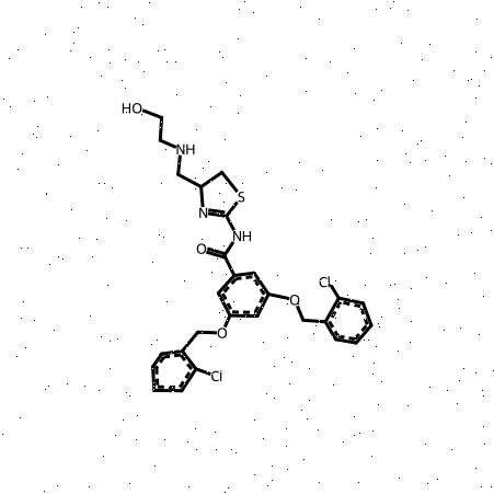 O=C(NC1=NC(CNCCO)CS1)c1cc(OCc2ccccc2Cl)cc(OCc2ccccc2Cl)c1